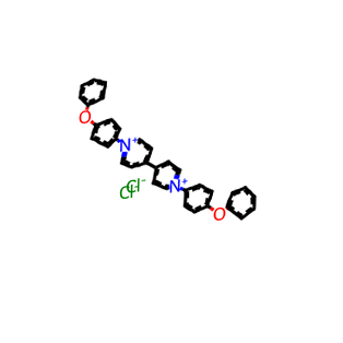 [Cl-].[Cl-].c1ccc(Oc2ccc(-[n+]3ccc(-c4cc[n+](-c5ccc(Oc6ccccc6)cc5)cc4)cc3)cc2)cc1